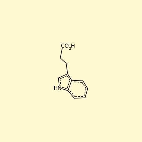 O=C(O)C[CH]c1c[nH]c2ccccc12